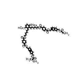 C=CC(=O)OCC1CC2C3CC(COC(=O)C4CCC(C(=O)OCCCCCCC5C(CCCCCC)CCC(CCCCCCCC)C5CCCCCCOC(=O)C5CCC(C(=O)OCC6CC7CC6C6CC(COC(=O)C(=C)C)CC76)CC5)CC4)C(C3)C2C1